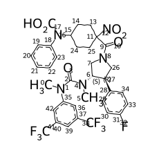 CN(C(=O)N(C)[C@@H]1CN(C(=O)C2([N+](=O)[O-])CCC(N(C(=O)O)c3ccccc3)CC2)C[C@H]1c1ccc(F)cc1)c1cc(C(F)(F)F)cc(C(F)(F)F)c1